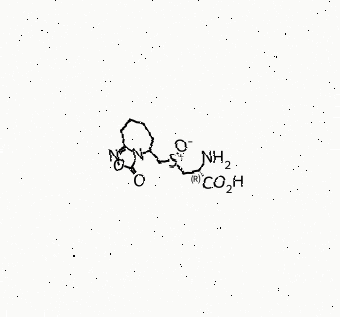 N[C@@H](C[S+]([O-])CC1CCCCc2noc(=O)n21)C(=O)O